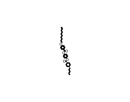 C=CCCCCCCCCOc1ccc(C(=O)Oc2ccc(OC(=O)[C@H]3CC[C@H](CCCCC)CC3)cc2)cc1